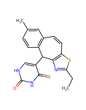 CCc1nc2c(s1)C=Cc1cc(C)ccc1C2c1c[nH]c(=O)[nH]c1=S